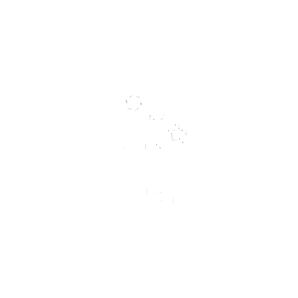 Cl.NC(CCCCCB(O)O)c1nnnn1CC(=O)NCc1ccc(Cl)cc1